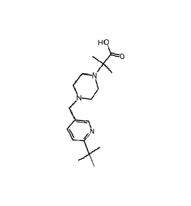 CC(C)(C)c1ccc(CN2CCN(C(C)(C)C(=O)O)CC2)cn1